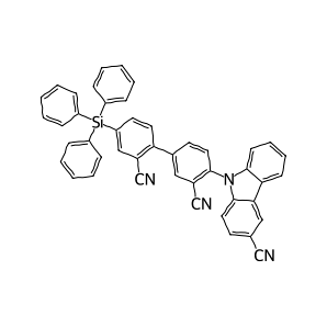 N#Cc1ccc2c(c1)c1ccccc1n2-c1ccc(-c2ccc([Si](c3ccccc3)(c3ccccc3)c3ccccc3)cc2C#N)cc1C#N